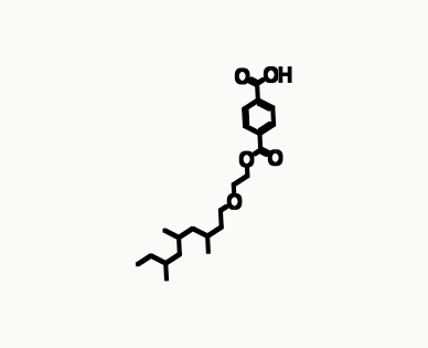 CCC(C)CC(C)CC(C)CCOCCOC(=O)c1ccc(C(=O)O)cc1